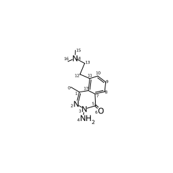 Cc1nn(N)c(=O)c2cccc(CCN(C)C)c12